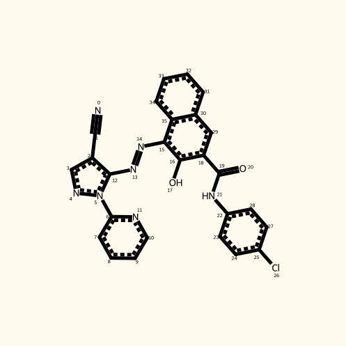 N#Cc1cnn(-c2ccccn2)c1/N=N/c1c(O)c(C(=O)Nc2ccc(Cl)cc2)cc2ccccc12